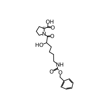 O=C(NCCCCC(O)C(=O)N1CCC[C@H]1C(=O)O)OCc1ccccc1